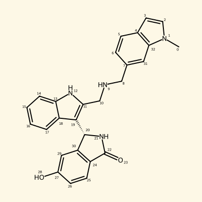 Cn1ccc2ccc(CNCc3[nH]c4ccccc4c3[C@@H]3NC(=O)c4ccc(O)cc43)cc21